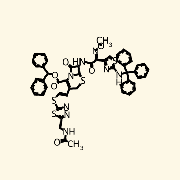 CON=C(C(=O)NC1C(=O)N2C(C(=O)OC(c3ccccc3)c3ccccc3)=C(C=CSc3nnc(CNC(C)=O)s3)CSC12)c1csc(NC(c2ccccc2)(c2ccccc2)c2ccccc2)n1